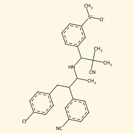 CC(NC(c1cccc([S+](C)[O-])c1)C(C)(C)C#N)C(Cc1ccc(Cl)cc1)c1cccc(C#N)c1